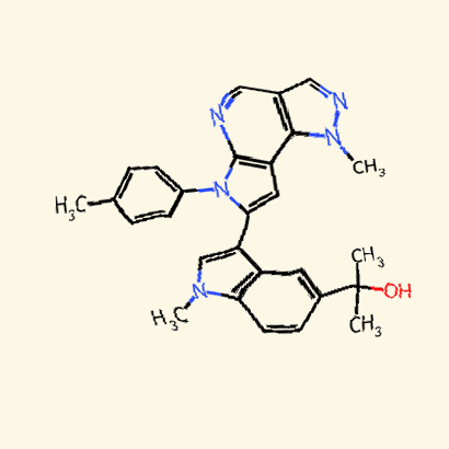 Cc1ccc(-n2c(-c3cn(C)c4ccc(C(C)(C)O)cc34)cc3c4c(cnc32)cnn4C)cc1